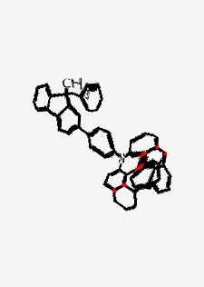 CC1(c2ccccc2)c2ccccc2-c2ccc(-c3ccc(N(c4ccccc4-c4cccc5cccc(C6CCCCC6)c45)c4cccc5sc6ccccc6c45)cc3)cc21